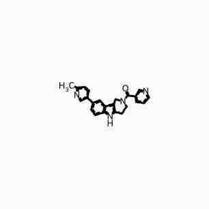 Cc1ccc(-c2ccc3[nH]c4c(c3c2)CN(C(=O)c2cccnc2)CC4)cn1